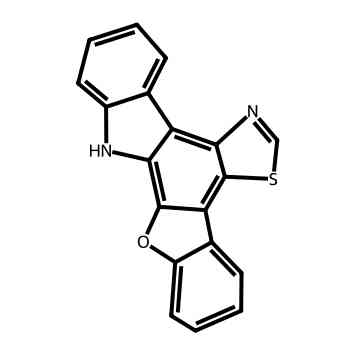 c1ccc2c(c1)[nH]c1c3oc4ccccc4c3c3scnc3c21